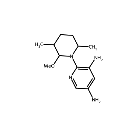 COC1C(C)CCC(C)N1c1ncc(N)cc1N